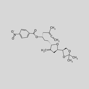 C=C=C(C)C[C@H](CC[C@@H]1O[C@@H]([C@H]2COC(C)(C)O2)CC1=C)OC(=O)c1ccc([N+](=O)[O-])cc1